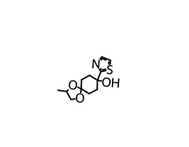 CC1COC2(CCC(O)(c3nccs3)CC2)O1